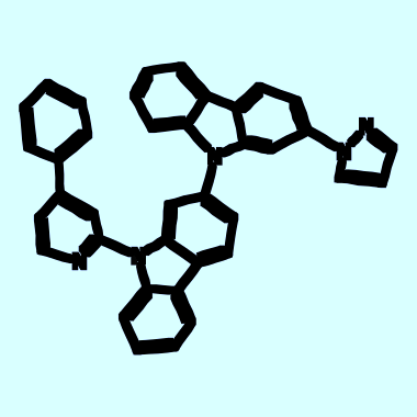 c1ccc(-c2ccnc(-n3c4ccccc4c4ccc(-n5c6ccccc6c6ccc(-n7cccn7)cc65)cc43)c2)cc1